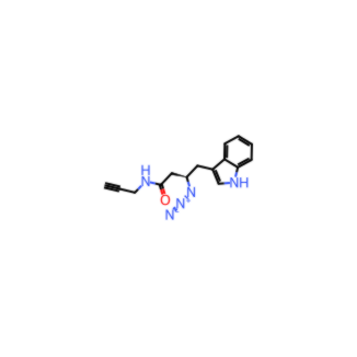 C#CCNC(=O)C[C@@H](Cc1c[nH]c2ccccc12)N=[N+]=[N-]